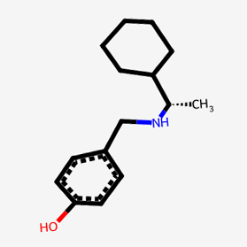 C[C@H](NCc1ccc(O)cc1)C1CCCCC1